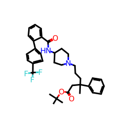 CC(C)(C)OC(=O)CC(C)(CCCN1CCC(NC(=O)c2ccccc2-c2ccc(C(F)(F)F)cc2)CC1)c1ccccc1